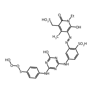 CCn1c(O)c(N=Nc2cc(Nc3nc(O)nc(Nc4ccc(SOOO)cc4)n3)ccc2S(=O)(=O)O)c(C)c(CS(=O)(=O)O)c1=O